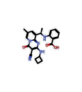 Cc1cc([C@@H](C)Nc2ccccc2C(=O)O)c2nc(NC3CCC3)c(C#N)c(=O)n2c1